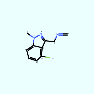 C=NCc1nn(C)c2cccc(F)c12